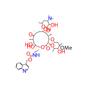 COC1(C)CC(O[C@H]2[C@H](C)[C@@H](OC3OC(C)CC(N(C)C)C3O)[C@](C)(O)C[C@@H](C)C(=O)[C@H](C)[C@@H](O)[C@](C)(O)[C@@H](CCNC(=O)OCc3ccnc4ccccc34)OC(=O)[C@@H]2C)OC(C)C1O